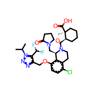 CC(C)n1nnc(COc2ccc(Cl)c3c2[C@@H](CN2CCCC2=O)N(C(=O)[C@@H]2CCCC[C@]2(C)C(=O)O)CC3)c1C(F)F